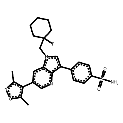 Cc1noc(C)c1-c1cnc2c(-c3ccc(S(N)(=O)=O)cc3)cn(CC3(F)CCCCC3)c2c1